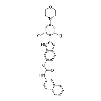 O=C(Nc1ccc2ccccc2n1)Oc1ccc2cc(-c3c(Cl)cc(N4CCOCC4)cc3Cl)[nH]c2c1